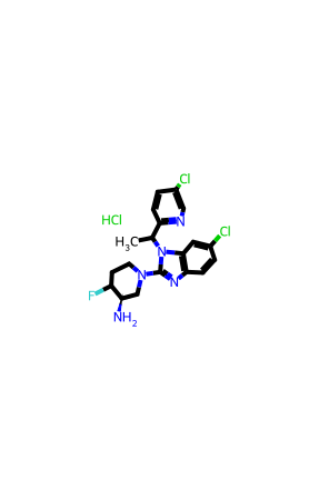 CC(c1ccc(Cl)cn1)n1c(N2CCC(F)[C@H](N)C2)nc2ccc(Cl)cc21.Cl